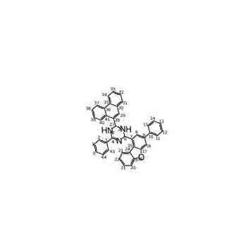 c1ccc(C2=NC(c3cc(-c4ccccc4)cc4oc5ccccc5c34)NC(c3cc4ccccc4c4ccccc34)N2)cc1